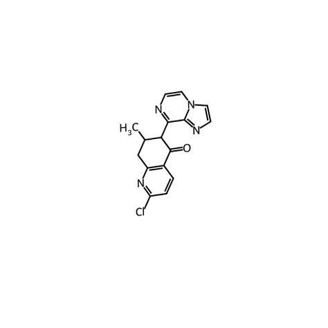 CC1Cc2nc(Cl)ccc2C(=O)C1c1nccn2ccnc12